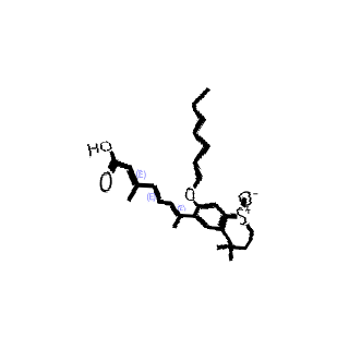 CCCCCCCOc1cc2c(cc1/C(C)=C/C=C/C(C)=C/C(=O)O)C(C)(C)CC[S+]2[O-]